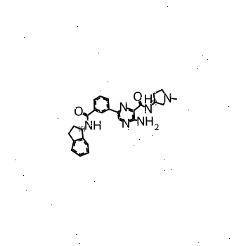 CN1CC[C@H](NC(=O)c2nc(-c3cccc(C(=O)N[C@H]4CCc5ccccc54)c3)cnc2N)C1